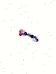 CC(C)(C)OC(=O)N1CCC[C@H]1c1nc2cc(-c3cnc(-c4ccc(-c5cnc([C@@H]6CCCN6)[nH]5)cc4)nc3)ccc2[nH]1